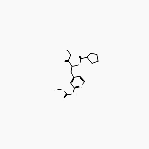 CC(C)(C)OC(=O)Nc1cc(CC(NC(=O)C2CCCC2)C(=O)CCl)ccn1